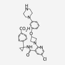 O=C(O)c1ccc(C2(NC(=O)c3cc(Cl)cnc3N3CC(Oc4cccc(N5CCNCC5)c4)C3)CC2)cc1